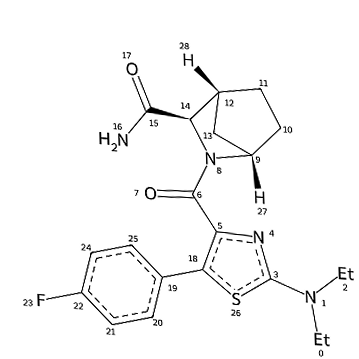 CCN(CC)c1nc(C(=O)N2[C@H]3CC[C@H](C3)[C@@H]2C(N)=O)c(-c2ccc(F)cc2)s1